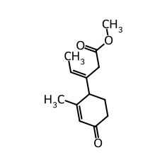 CC=C(CC(=O)OC)C1CCC(=O)C=C1C